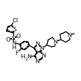 CN1CCC(N2CCC(n3nc(-c4ccc(NS(=O)(=O)c5ccc(Cl)s5)c(F)c4)c4c(N)ncnc43)CC2)CC1